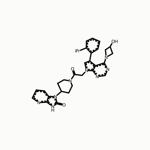 CC(C)c1ccccc1-c1cn(CC(=O)N2CCC(n3c(=O)[nH]c4ncccc43)CC2)c2ncnc(N3CC(O)C3)c12